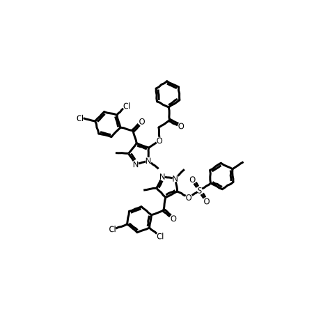 Cc1ccc(S(=O)(=O)Oc2c(C(=O)c3ccc(Cl)cc3Cl)c(C)nn2C)cc1.Cc1nn(C)c(OCC(=O)c2ccccc2)c1C(=O)c1ccc(Cl)cc1Cl